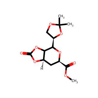 COC(=O)[C@H]1C[C@H]2OC(=O)OC2C([C@H]2COC(C)(C)O2)O1